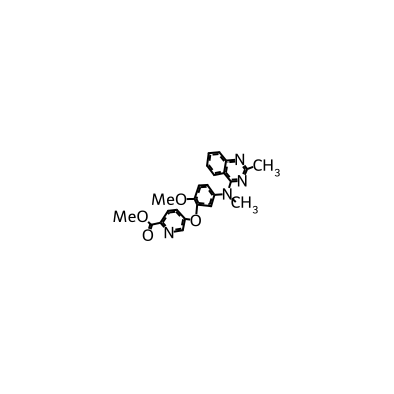 COC(=O)c1ccc(Oc2cc(N(C)c3nc(C)nc4ccccc34)ccc2OC)cn1